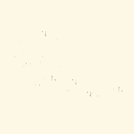 C[C@H]1CC2CN(C(=O)COC3(c4cccnc4)CCC3)CC1N2c1ccc(C#N)cn1